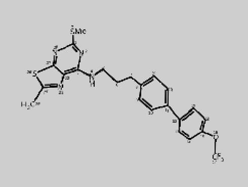 CSc1nc(NCCCc2ccc(-c3ccc(OC(F)(F)F)cc3)cc2)c2nc(C)sc2n1